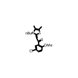 CCCCN1C(C)=C(C)S/C1=C\C(=S)c1cc(Cl)ccc1OC